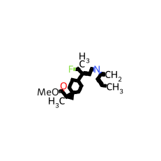 C=C(/C=C\C)/N=C\C=C(/C(C)F)C1CCC2(CC1)CC2(C)C(=O)OC